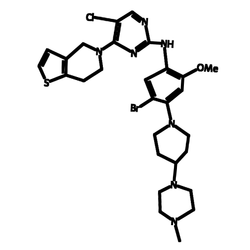 COc1cc(N2CCC(N3CCN(C)CC3)CC2)c(Br)cc1Nc1ncc(Cl)c(N2CCc3sccc3C2)n1